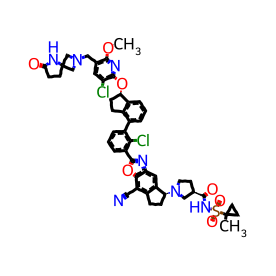 COc1nc(O[C@H]2CCc3c(-c4cccc(-c5nc6cc7c(c(C#N)c6o5)CC[C@H]7N5CC[C@@H](C(=O)NS(=O)(=O)C6(C)CC6)C5)c4Cl)cccc32)c(Cl)cc1CN1CC2(CCC(=O)N2)C1